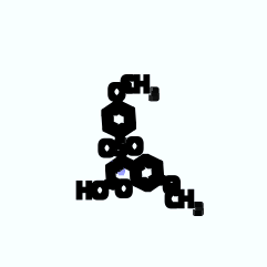 COc1ccc(/C(=C\C(=O)O)S(=O)(=O)c2ccc(OC)cc2)cc1